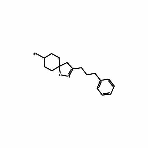 CC(C)C1CCC2(CC1)CC(CCCc1ccccc1)=NO2